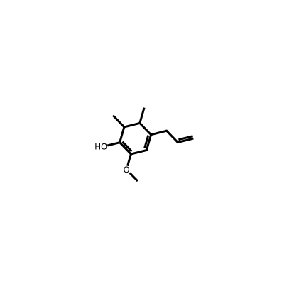 C=CCC1=CC(OC)=C(O)C(C)C1C